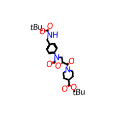 CC(C)(C)OC(=O)NCc1ccc(N2CC(C(=O)N3CCC(C(=O)OC(C)(C)C)CC3)OC2=O)cc1